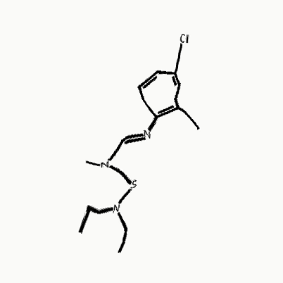 CCN(CC)SN(C)/C=N/c1ccc(Cl)cc1C